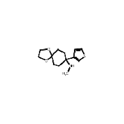 CNC1(c2ccsc2)CCC2(CC1)OCCO2